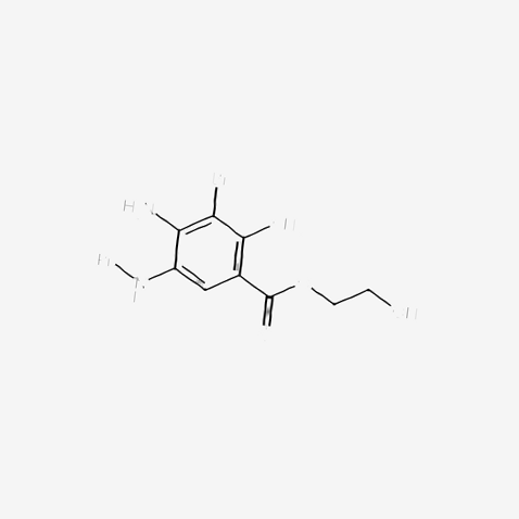 Cc1c(C(=O)OCCO)cc(NC(C)C)c(N)c1Br